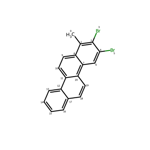 Cc1c(Br)c(Br)cc2c1ccc1c3ccccc3ccc21